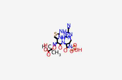 CC(C)(O/N=C(\C(=O)NC1C(=O)N(S(=O)(=O)O)C1Cn1cnc(C#N)n1)C1=CSC(N)N1)C(=O)O